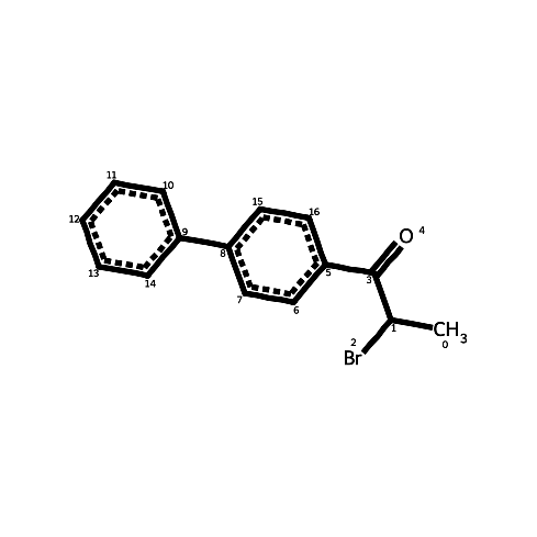 CC(Br)C(=O)c1ccc(-c2ccccc2)cc1